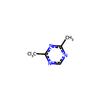 Cc1ncnc(C(Cl)(Cl)Cl)n1